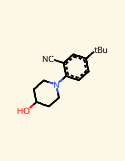 CC(C)(C)c1ccc(N2CCC(O)CC2)c(C#N)c1